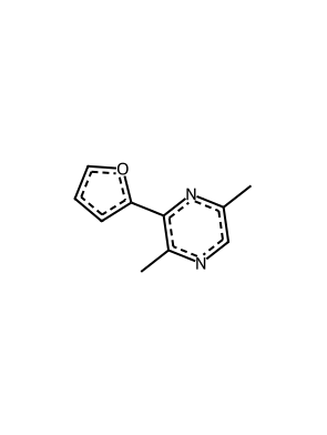 Cc1cnc(C)c(-c2ccco2)n1